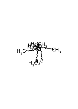 CCCCCCCCCC[Si]1(CCCCCCCCCC)O[Si](C)(C)O[Si](C)(C)O[Si](CCCCCCCCCC)(CCCCCCCCCC)O1